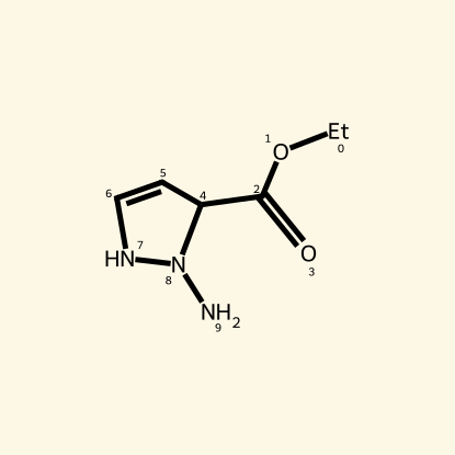 CCOC(=O)C1C=CNN1N